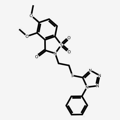 COc1ccc2c(c1OC)C(=O)N(CCSc1nnnn1-c1ccccc1)S2(=O)=O